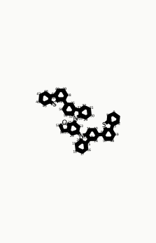 c1ccc2c(c1)sc1c(-c3ccc4c(c3)c3ccccc3n4-c3cc4c(c(-n5c6ccccc6c6cc(-c7cccc8c7sc7ccccc78)ccc65)c3)OCC4)cccc12